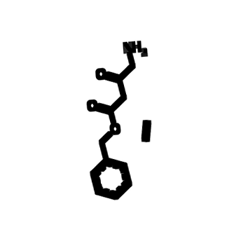 C=C.NCC(=O)CC(=O)OCc1ccccc1